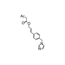 CC(=O)CC(=O)OCC=Cc1ccc(Cn2ccnc2)cc1